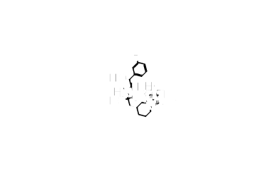 CC(C)(C[C@@H]1CCCN(S(C)(=O)=O)C1)NC[C@H](O)c1cccc(F)c1.Cl